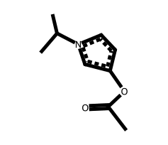 CC(=O)Oc1ccn(C(C)C)c1